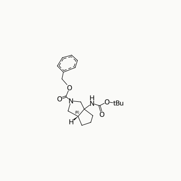 CC(C)(C)OC(=O)NC12CCC[C@@H]1CN(C(=O)OCc1ccccc1)C2